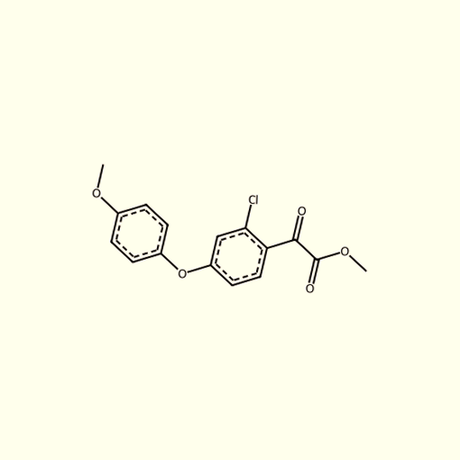 COC(=O)C(=O)c1ccc(Oc2ccc(OC)cc2)cc1Cl